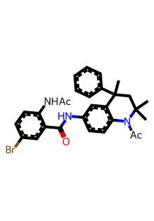 CC(=O)Nc1ccc(Br)cc1C(=O)Nc1ccc2c(c1)C(C)(c1ccccc1)CC(C)(C)N2C(C)=O